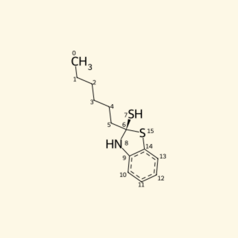 CCCCCC[C@@]1(S)Nc2ccccc2S1